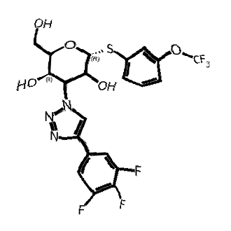 OCC1O[C@H](Sc2cccc(OC(F)(F)F)c2)C(O)C(n2cc(-c3cc(F)c(F)c(F)c3)nn2)[C@H]1O